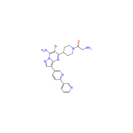 NCC(=O)N1CCC(c2nc3c(-c4ccc(-c5cccnc5)nc4)cnn3c(N)c2Br)CC1